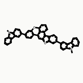 Cn1c2ccccc2c2cc(-c3ccc4c(c3)Oc3cccc5c3c-4cc3oc4cc(-c6ccc7c(c6)c6ccccc6n7C)ccc4c35)ccc21